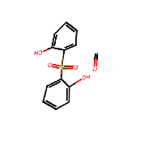 C=O.O=S(=O)(c1ccccc1O)c1ccccc1O